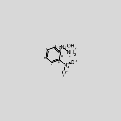 NN.O.O=[N+]([O-])c1ccccc1